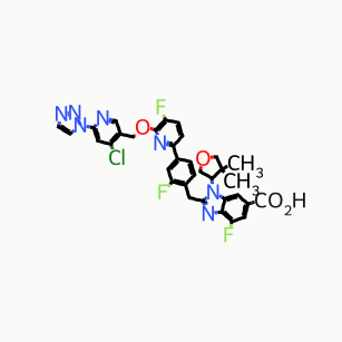 CC1(C)COCC1n1c(Cc2ccc(-c3ccc(F)c(OCc4cnc(-n5ccnn5)cc4Cl)n3)cc2F)nc2c(F)cc(C(=O)O)cc21